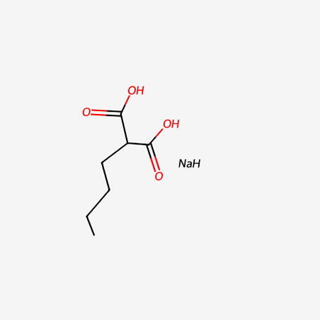 CCCCC(C(=O)O)C(=O)O.[NaH]